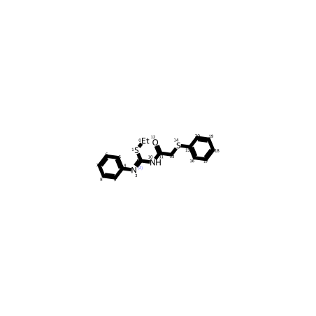 CCS/C(=N\c1ccccc1)NC(=O)CSc1ccccc1